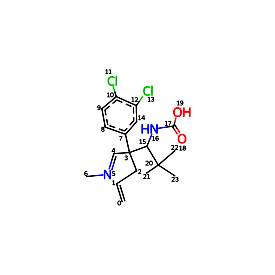 C=CCC(C=NC)(c1ccc(Cl)c(Cl)c1)C(NC(=O)O)C(C)(C)C